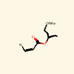 COCC(C)OC(=O)/C=C\C(C)=O